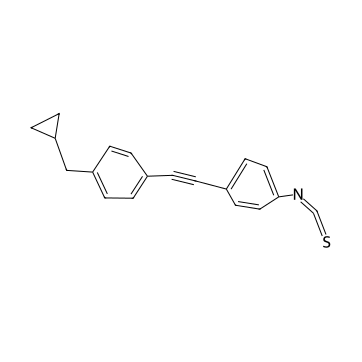 S=C=Nc1ccc(C#Cc2ccc(CC3CC3)cc2)cc1